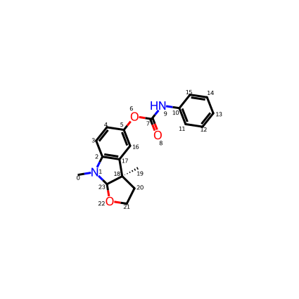 CN1c2ccc(OC(=O)Nc3ccccc3)cc2[C@@]2(C)CCOC12